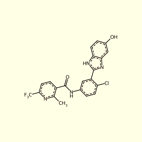 Cc1nc(C(F)(F)F)ccc1C(=O)Nc1ccc(Cl)c(-c2nc3cc(O)ccc3[nH]2)c1